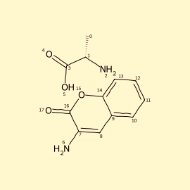 C[C@H](N)C(=O)O.Nc1cc2ccccc2oc1=O